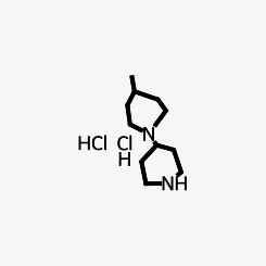 CC1CCN(C2CCNCC2)CC1.Cl.Cl